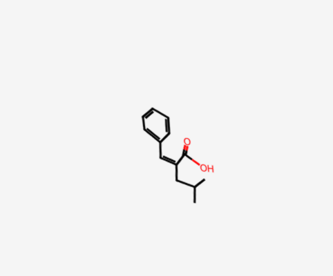 CC(C)C/C(=C/c1ccccc1)C(=O)O